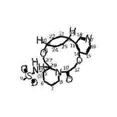 CS(=O)(=O)N[C@H]1CCCN2C(=O)COc3ccncc3[C@H]3CC[C@H](CC3)OC[C@@H]12